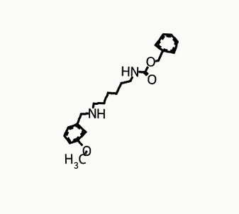 COc1cccc(CNCCCCCCNC(=O)OCc2ccccc2)c1